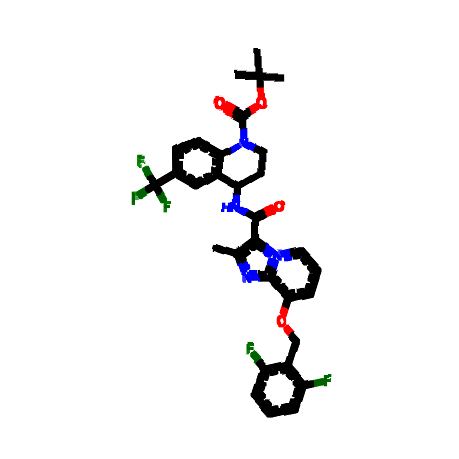 Cc1nc2c(OCc3c(F)cccc3F)cccn2c1C(=O)NC1CCN(C(=O)OC(C)(C)C)c2ccc(C(F)(F)F)cc21